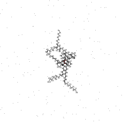 CCCCCCCC/C=C\CCCCCCCCN1CCCN=C1CN(CCN(CC1=NCCCN1CCCCCCCC/C=C\CCCCCCCC)CC1=NCCCN1CCCCCCCC/C=C\CCCCCCCC)CC1=NCCCN1CCCCCCCC/C=C\CCCCCCCC